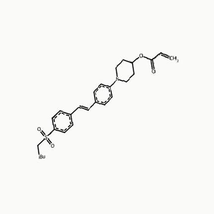 C=CC(=O)OC1CCN(c2ccc(/C=C/c3ccc(S(=O)(=O)CC(C)CC)cc3)cc2)CC1